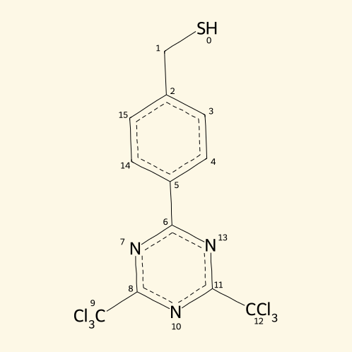 SCc1ccc(-c2nc(C(Cl)(Cl)Cl)nc(C(Cl)(Cl)Cl)n2)cc1